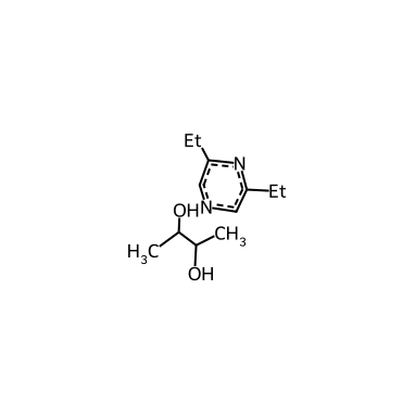 CC(O)C(C)O.CCc1cncc(CC)n1